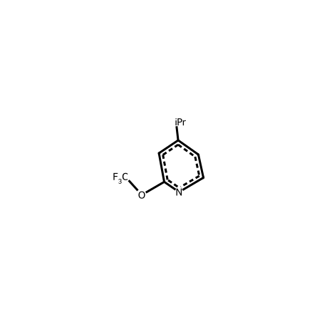 CC(C)c1ccnc(OC(F)(F)F)c1